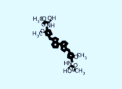 COC(=O)[C@@H](CO)NCc1ccc(/C=C2\CCc3c2cccc3-c2cccc3c2CC/C3=C\c2ccc(CN[C@H](CO)C(=O)OC)c(OC)c2)cc1OC